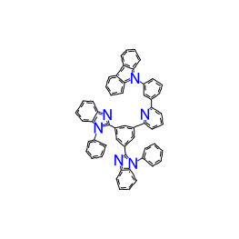 c1ccc(-n2c(-c3cc(-c4cccc(-c5cccc(-n6c7ccccc7c7ccccc76)c5)n4)cc(-c4nc5ccccc5n4-c4ccccc4)c3)nc3ccccc32)cc1